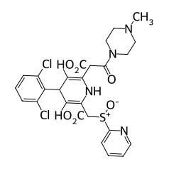 CN1CCN(C(=O)CC2=C(C(=O)O)C(c3c(Cl)cccc3Cl)C(C(=O)O)=C(C[S+]([O-])c3ccccn3)N2)CC1